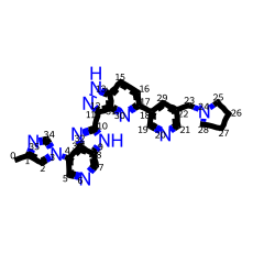 Cc1cn(-c2cncc3[nH]c(-c4n[nH]c5ccc(-c6cncc(CN7CCCC7)c6)nc45)nc23)cn1